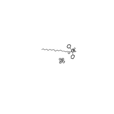 CCCCCCCCCCCCCCCCOc1c(-c2ccccc2)n(C)[n+](C)c1-c1ccccc1.COS(=O)(=O)[O-]